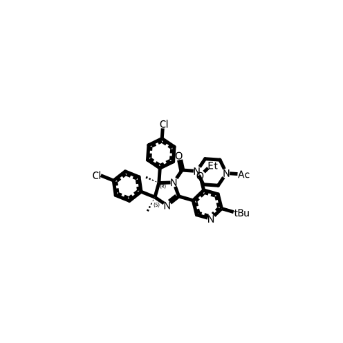 CCOc1cc(C(C)(C)C)ncc1C1=N[C@@](C)(c2ccc(Cl)cc2)[C@@](C)(c2ccc(Cl)cc2)N1C(=O)N1CCN(C(C)=O)CC1